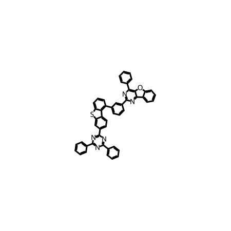 c1ccc(-c2nc(-c3ccccc3)nc(-c3ccc4c(c3)sc3cccc(-c5cccc(-c6nc(-c7ccccc7)c7oc8ccccc8c7n6)c5)c34)n2)cc1